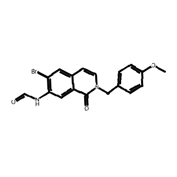 COc1ccc(Cn2ccc3cc(Br)c(NC=O)cc3c2=O)cc1